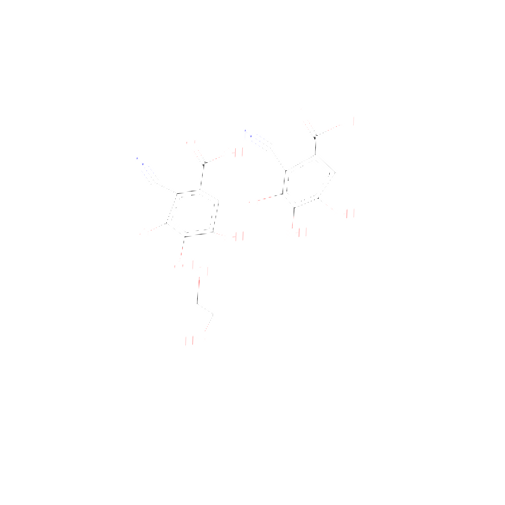 N#Cc1c(C(=O)O)cc(O)c(O)c1O.N#Cc1c(C(=O)O)cc(O)c(O)c1O.OCCO